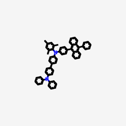 Cc1cc(C)c(N(c2ccc(-c3ccc(N(c4ccccc4)c4ccccc4)cc3)cc2)c2ccc(-c3c4ccccc4c(-c4ccccc4)c4ccccc34)cc2)c(C)c1